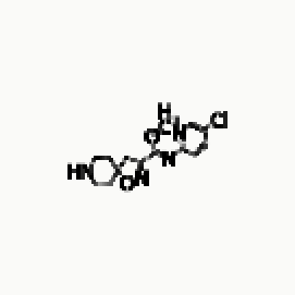 CO/C(=N\c1ccc(Cl)cn1)C1=NOC2(CCNCC2)C1